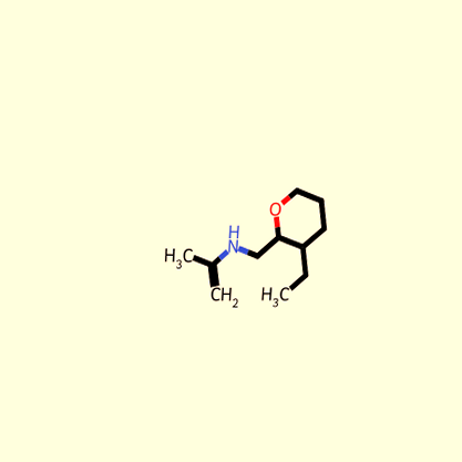 C=C(C)NCC1OCCCC1CC